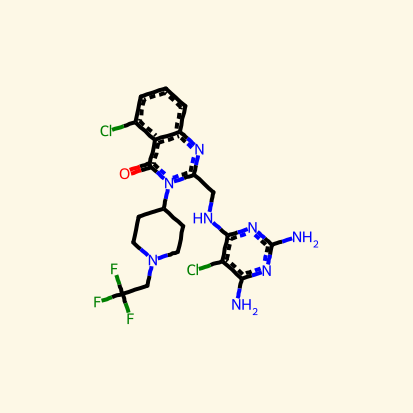 Nc1nc(N)c(Cl)c(NCc2nc3cccc(Cl)c3c(=O)n2C2CCN(CC(F)(F)F)CC2)n1